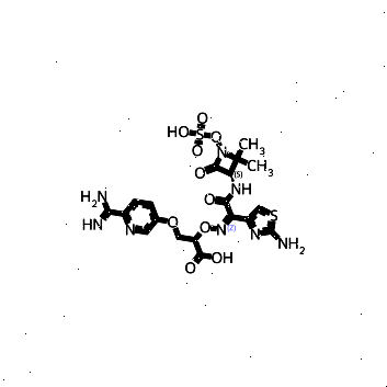 CC1(C)[C@H](NC(=O)/C(=N\OC(COc2ccc(C(=N)N)nc2)C(=O)O)c2csc(N)n2)C(=O)N1OS(=O)(=O)O